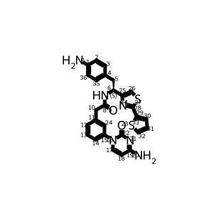 Nc1ccc(C[C@H](NC(=O)Cc2cccc(-n3ccc(N)nc3=O)c2)c2csc(-c3cccs3)n2)cc1